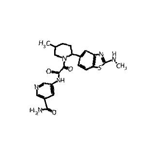 CNc1nc2cc(C3CCC(C)CN3C(=O)C(=O)Nc3cncc(C(N)=O)c3)ccc2s1